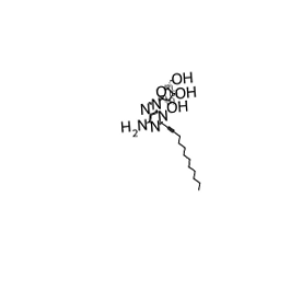 CCCCCCCCCCC#Cc1nc(N)c2ncn([C@@H]3O[C@H](CO)[C@@H](O)[C@@H]3O)c2n1